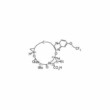 CC[C@@H]1[C@@H]2CN(C(=O)[C@H](C(C)(C)C)NC(=O)O[C@@H]3CC3CCCCCc3nc4ccc(OCC(F)(F)F)cc4nc3O2)[C@@H]1C(=O)O